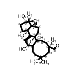 CC1(C)CCC2[C@H](O)C=C3[C@@]4(C)CC[C@H](O)C(C)(C)[C@@H]4CC[C@@]3(C)[C@]2(C)CC[C@@](C)(C=O)CC1